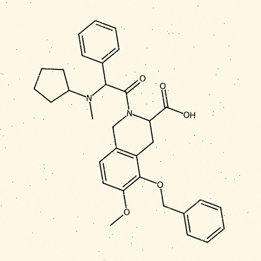 COc1ccc2c(c1OCc1ccccc1)CC(C(=O)O)N(C(=O)C(c1ccccc1)N(C)C1CCCC1)C2